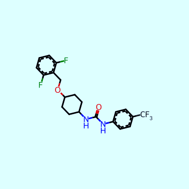 O=C(Nc1ccc(C(F)(F)F)cc1)NC1CCC(OCc2c(F)cccc2F)CC1